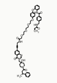 C=CC(=O)NCc1ccc(C(=O)Nc2ccccc2Oc2ccc(OCCOCCOCCOCC(=O)NCC#Cc3ccc4c(=O)n(CC5(O)CCN(C(=O)C[C@H](C)c6ccccc6)CC5)cnc4c3)cc2)cc1